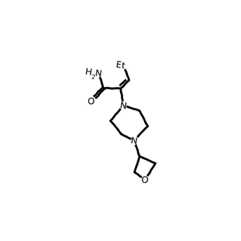 CCC=C(C(N)=O)N1CCN(C2COC2)CC1